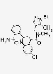 CCn1ncc(CN(C)C(=O)c2cc(-c3ccccc3C(N)=O)nc3ccc(Cl)cc23)c1C